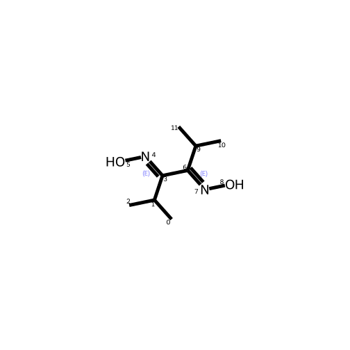 CC(C)C(=N\O)/C(=N/O)C(C)C